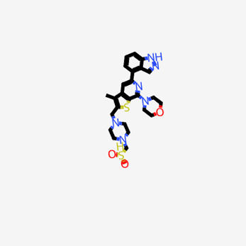 Cc1c(CN2CCN(C[SH](=O)=O)CC2)sc2c(N3CCOCC3)nc(-c3cccc4[nH]ncc34)cc12